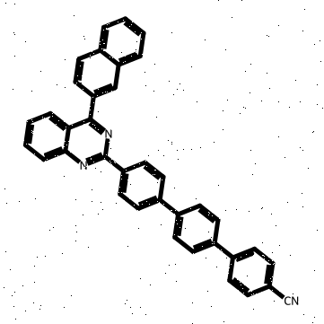 N#Cc1ccc(-c2ccc(-c3ccc(-c4nc(-c5ccc6ccccc6c5)c5ccccc5n4)cc3)cc2)cc1